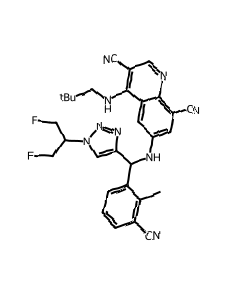 Cc1c(C#N)cccc1C(Nc1cc(C#N)c2ncc(C#N)c(NCC(C)(C)C)c2c1)c1cn(C(CF)CF)nn1